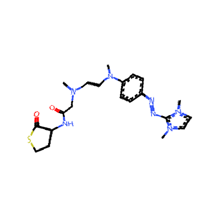 CN(CCN(C)c1ccc(/N=N/c2n(C)cc[n+]2C)cc1)CC(=O)NC1CCSC1=O